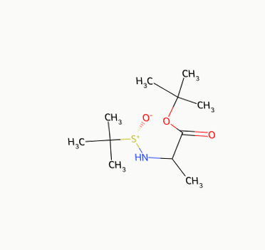 CC(N[S@@+]([O-])C(C)(C)C)C(=O)OC(C)(C)C